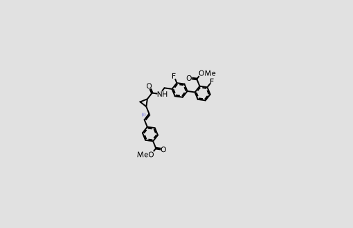 COC(=O)c1ccc(/C=C/C2CC2C(=O)NCc2ccc(-c3cccc(F)c3C(=O)OC)cc2F)cc1